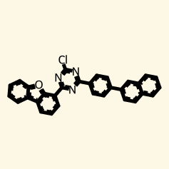 Clc1nc(-c2ccc(-c3ccc4ccccc4c3)cc2)nc(-c2cccc3c2oc2ccccc23)n1